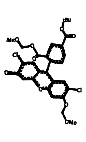 COCOC(=O)c1cc(C(=O)OC(C)(C)C)ccc1-c1c2cc(Cl)c(=O)cc-2oc2cc(OCOC)c(Cl)cc12